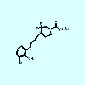 Cc1c(Br)cccc1OCCC[C@@H]1CCN(C(=O)OC(C)(C)C)CC1(F)F